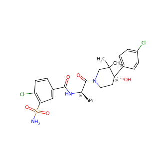 CC(C)[C@@H](NC(=O)c1ccc(Cl)c(S(N)(=O)=O)c1)C(=O)N1CC[C@](O)(c2ccc(Cl)cc2)C(C)(C)C1